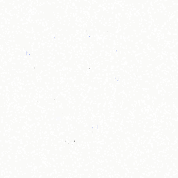 CN/C=C(\C=N)c1ccc(N)c(C(=N)c2cc(N3CCC(F)(F)CC3)ncn2)c1